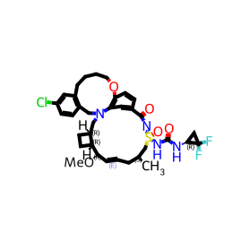 CO[C@H]1/C=C/C[C@H](C)CS(=O)(NC(=O)N[C@@H]2CC2(F)F)=NC(=O)c2ccc3c(c2)N(Cc2ccc(Cl)cc2CCCCO3)C[C@@H]2CC[C@H]21